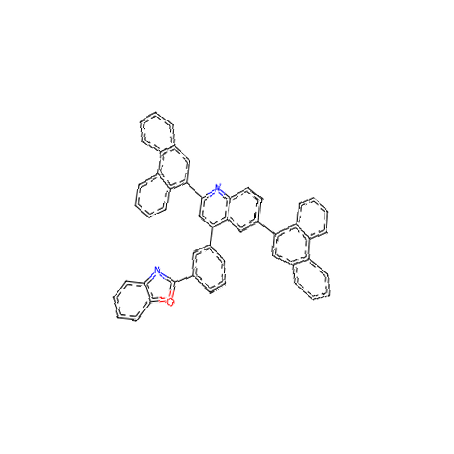 c1cc(-c2nc3ccccc3o2)cc(-c2cc(-c3cc4ccccc4c4ccccc34)nc3ccc(-c4cc5ccccc5c5ccccc45)cc23)c1